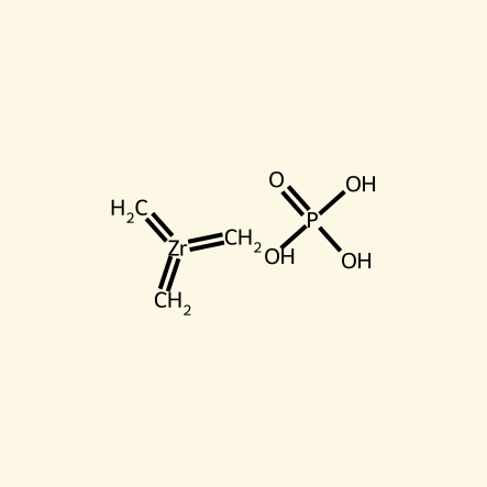 O=P(O)(O)O.[CH2]=[Zr](=[CH2])=[CH2]